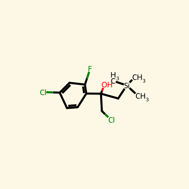 C[Si](C)(C)CC(O)(CCl)c1ccc(Cl)cc1F